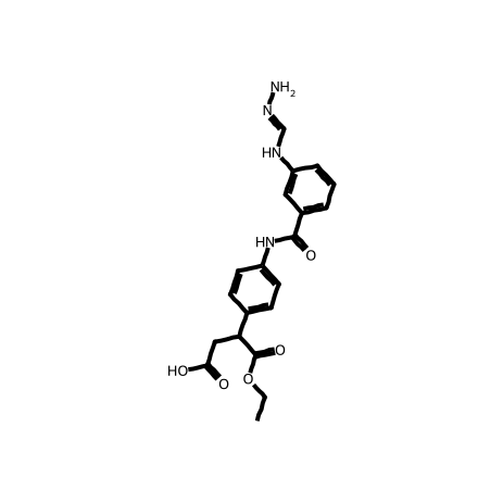 CCOC(=O)C(CC(=O)O)c1ccc(NC(=O)c2cccc(NC=NN)c2)cc1